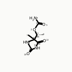 C[C@@H](OC(N)=O)C1(C)NC(=O)NC1=O